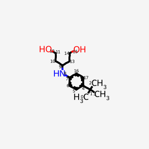 CC(C)(C)c1ccc(NC(CCO)CCO)cc1